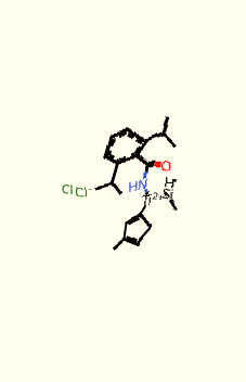 CC1=CC[C]([Ti+2]([NH]C(=O)c2c(C(C)C)cccc2C(C)C)[SiH](C)C)=C1.[Cl-].[Cl-]